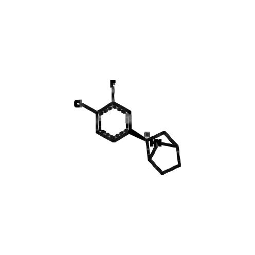 Fc1cc([C@H]2CC3CCC2N3)ccc1Cl